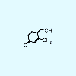 CC1=CC(=O)CCC1CO